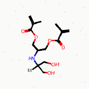 C=C(C)C(=O)OCC(COC(=O)C(=C)C)NC(CC)(CO)CO